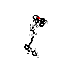 O=C1CCC(N2Cc3c(C#CCCCNC(=O)c4cnc(NC(=O)[C@@H]5NC6(CCCCC6)[C@@]6(C(=O)Nc7cc(Cl)ccc76)[C@H]5c5cccc(Cl)c5F)s4)cccc3C2=O)C(=O)N1